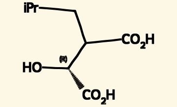 CC(C)CC(C(=O)O)[C@@H](O)C(=O)O